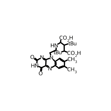 Cc1cc2nc3c(=O)[nH]c(=O)nc-3n(CCNC(C(=O)O)C(C(C(=O)O)C(C)(C)C)C(C)(C)C)c2cc1C